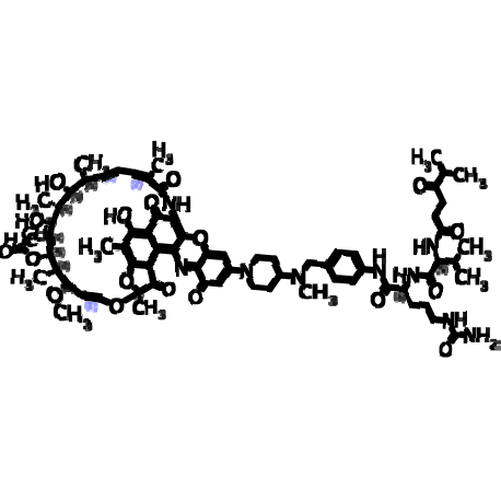 CO[C@H]1/C=C/O[C@@]2(C)OC3=C(C)C(O)=c4c(c5nc6c(=O)cc(N7CCC(N(C)Cc8ccc(NC(=O)[C@H](CCCNC(N)=O)NC(=O)[C@@H](NC(=O)CCC(=O)C(C)C)C(C)C)cc8)CC7)cc6oc5c(c4=O)NC(=O)/C(C)=C\C=C\[C@H](C)[C@H](O)[C@@H](C)[C@@H](O)[C@@H](C)[C@H](OC(C)=O)[C@@H]1C)C3C2=O